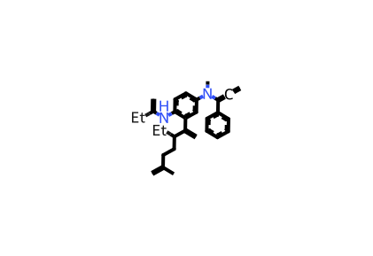 C=C=C(c1ccccc1)N(C)c1ccc(NC(=C)CC)c(C(=C)C(CC)CCC(=C)C)c1